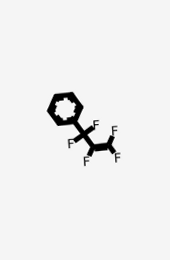 FC(F)=C(F)C(F)(F)c1ccccc1